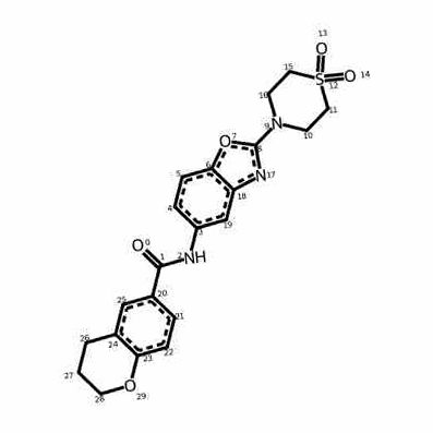 O=C(Nc1ccc2oc(N3CCS(=O)(=O)CC3)nc2c1)c1ccc2c(c1)CCCO2